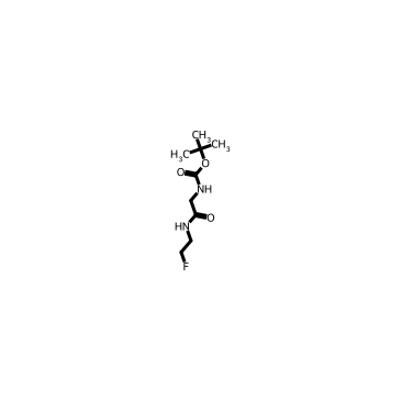 CC(C)(C)OC(=O)NCC(=O)NCCF